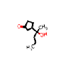 CCCC(C)(O)C1CCC(=O)C1